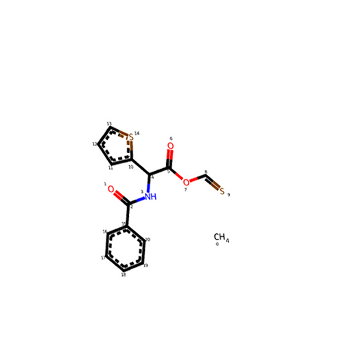 C.O=C(NC(C(=O)OC=S)c1cccs1)c1ccccc1